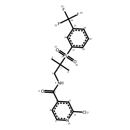 CC(C)(CNC(=O)c1ccnc(Cl)c1)S(=O)(=O)c1cccc(C(F)(F)F)c1